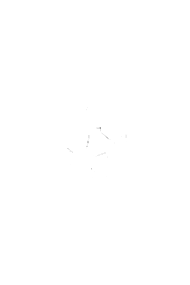 CC(=O)c1c(N)c(F)c(Br)c2c1COC2